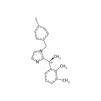 Cc1cccc([C@H](C)c2nccn2Cc2ccc(I)cc2)c1C